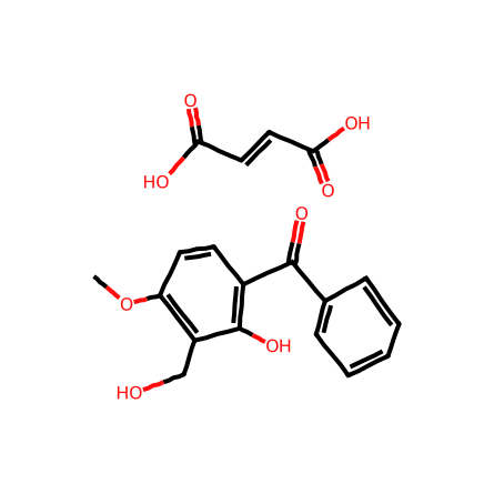 COc1ccc(C(=O)c2ccccc2)c(O)c1CO.O=C(O)C=CC(=O)O